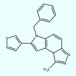 Cc1nnc2ccc3c(cc(-c4ccsc4)n3Cc3ccccc3)n12